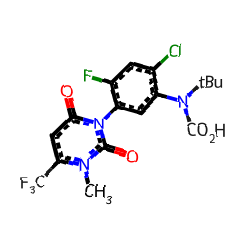 Cn1c(C(F)(F)F)cc(=O)n(-c2cc(N(C(=O)O)C(C)(C)C)c(Cl)cc2F)c1=O